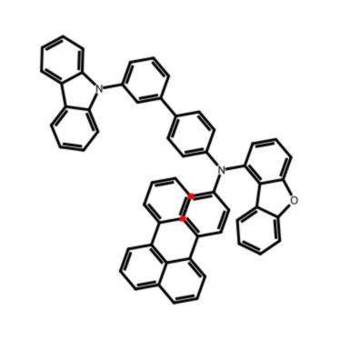 c1ccc(-c2cccc3cccc(-c4ccc(N(c5ccc(-c6cccc(-n7c8ccccc8c8ccccc87)c6)cc5)c5cccc6oc7ccccc7c56)cc4)c23)cc1